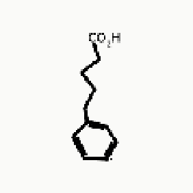 O=C(O)CCCCc1cc[c]cc1